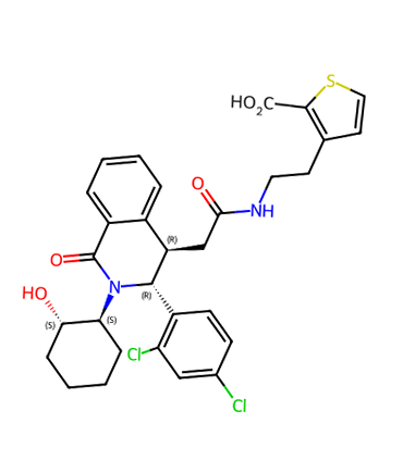 O=C(C[C@@H]1c2ccccc2C(=O)N([C@H]2CCCC[C@@H]2O)[C@H]1c1ccc(Cl)cc1Cl)NCCc1ccsc1C(=O)O